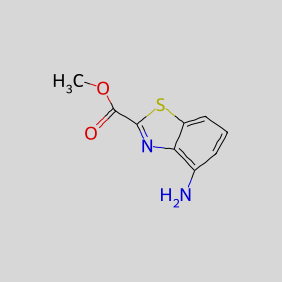 COC(=O)c1nc2c(N)cccc2s1